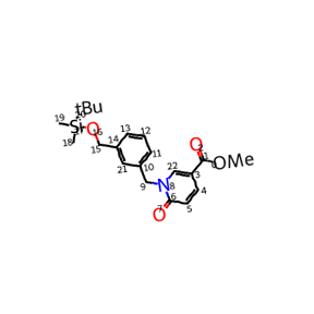 COC(=O)c1ccc(=O)n(Cc2cccc(CO[Si](C)(C)C(C)(C)C)c2)c1